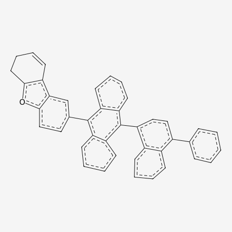 C1=Cc2c(oc3ccc(-c4c5ccccc5c(-c5ccc(-c6ccccc6)c6ccccc56)c5ccccc45)cc23)CC1